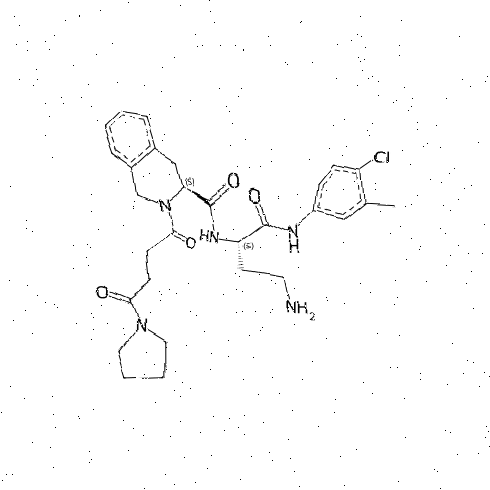 Cc1cc(NC(=O)[C@H](CCN)NC(=O)[C@@H]2Cc3ccccc3CN2C(=O)CCC(=O)N2CCCC2)ccc1Cl